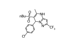 CCCCS(=O)(=O)C1=C(C)Nc2cc(C(F)(F)F)nn2C1c1ccc(Cl)cc1